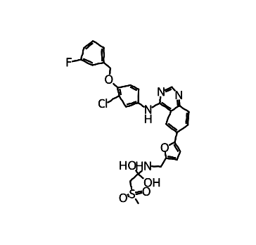 CS(=O)(=O)CC(O)(O)NCc1ccc(-c2ccc3ncnc(Nc4ccc(OCc5cccc(F)c5)c(Cl)c4)c3c2)o1